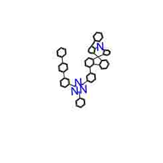 c1ccc(-c2ccc(-c3cccc(-c4nc(-c5ccccc5)nc(-c5cccc(-c6cccc7c6-c6ccccc6C76c7ccccc7-n7c8ccccc8c8cccc6c87)c5)n4)c3)cc2)cc1